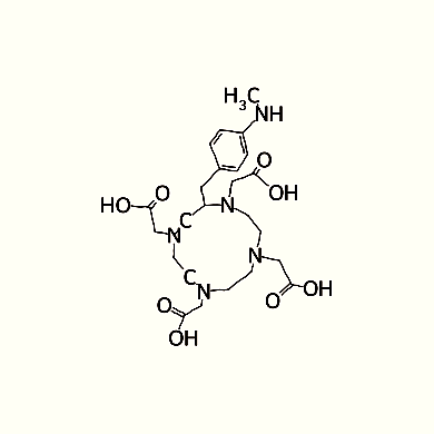 CNc1ccc(CC2CN(CC(=O)O)CCN(CC(=O)O)CCN(CC(=O)O)CCN2CC(=O)O)cc1